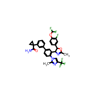 CC1=NC(c2cc(-c3cccc(C4(C(N)=O)CC4)c3)ccc2-n2cc(C(F)(F)F)nc2C)C(c2ccc(OC(F)F)c(F)c2)O1